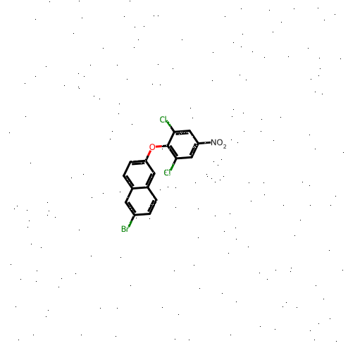 O=[N+]([O-])c1cc(Cl)c(Oc2ccc3cc(Br)ccc3c2)c(Cl)c1